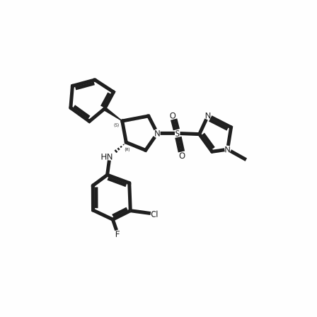 Cn1cnc(S(=O)(=O)N2C[C@H](Nc3ccc(F)c(Cl)c3)[C@@H](c3ccccc3)C2)c1